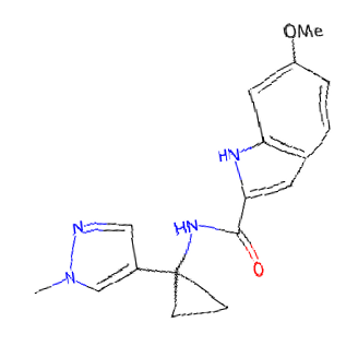 COc1ccc2cc(C(=O)NC3(c4cnn(C)c4)CC3)[nH]c2c1